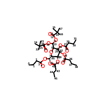 CCCC(=O)OC[C@H]1O[C](C(OC(=O)C(C)(C)C)OC(=O)C(C)(C)C)[C@@H](OC(=O)CCC)[C@@H](OC(=O)CCC)[C@@H]1OC(=O)CCC